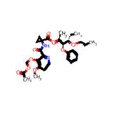 CCCO[C@@H](CC)[C@@H](Oc1ccccc1)[C@H](C)OC(=O)C1(NC(=O)c2nccc(OC)c2OCOC(C)=O)CC1